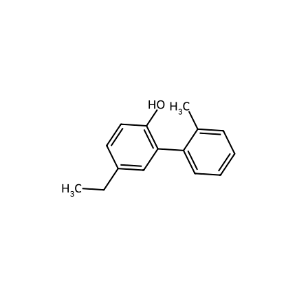 CCc1ccc(O)c(-c2ccccc2C)c1